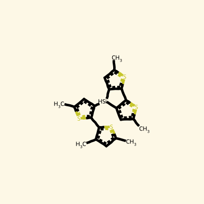 Cc1cc(C)c(-c2sc(C)cc2[SiH]2c3cc(C)sc3-c3sc(C)cc32)s1